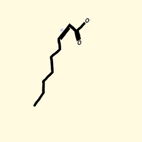 CCCCCC/C=C\C([O])=O